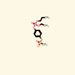 CCCSP(=O)(OCC)Sc1ccc(SS(C)(=O)=O)cc1